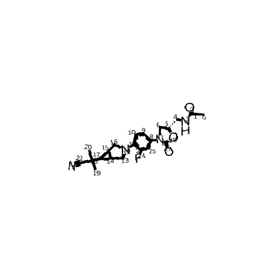 CC(=O)NC[C@H]1CN(c2ccc(N3CC4C(C3)C4C(C)(C)C#N)c(F)c2)C(=O)O1